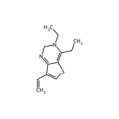 C=Cc1csc2c1=NCN(CC)C=2CC